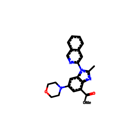 COC(=O)c1cc(N2CCOCC2)cc2c1nc(C)n2-c1cc2ccccc2cn1